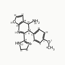 COc1ccc(N2C(C3=NCCN3)=Nc3occc3C2N)cc1